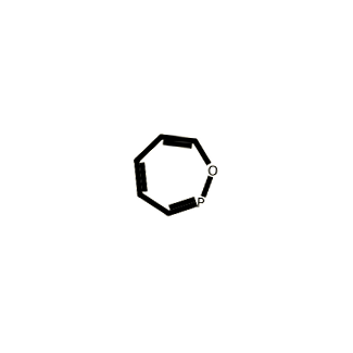 C1=CC=POC=C1